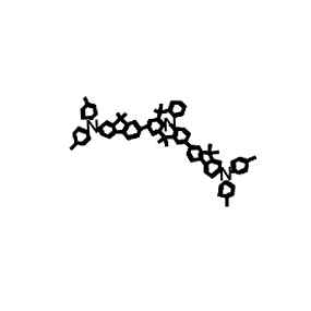 CC1=CCC(N(C2=CCC(C)C=C2)c2ccc3c(c2)C(C)(C)c2cc(-c4cc5c6c(c4)C(C)(C)c4cc(-c7ccc8c(c7)C(C)(C)c7cc(N(c9ccc(C)cc9)c9ccc(C)cc9)ccc7-8)ccc4N6c4ccccc4C5(C)C)ccc2-3)C=C1